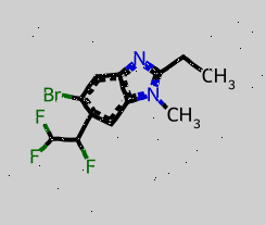 CCc1nc2cc(Br)c(C(F)C(F)F)cc2n1C